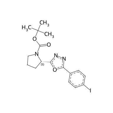 CC(C)(C)OC(=O)N1CCC[C@H]1c1nnc(-c2ccc(I)cc2)o1